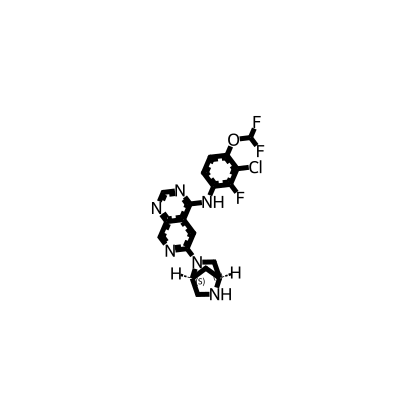 Fc1c(Nc2ncnc3cnc(N4C[C@@H]5C[C@H]4CN5)cc23)ccc(OC(F)F)c1Cl